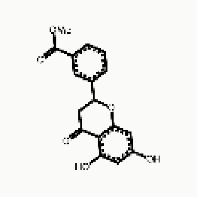 COC(=O)c1cccc(C2CC(=O)c3c(O)cc(O)cc3O2)c1